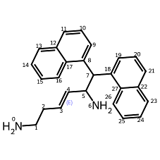 NCC/C=C/C(N)C(c1cccc2ccccc12)c1cccc2ccccc12